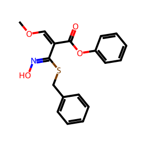 COC=C(C(=O)Oc1ccccc1)C(=NO)SCc1ccccc1